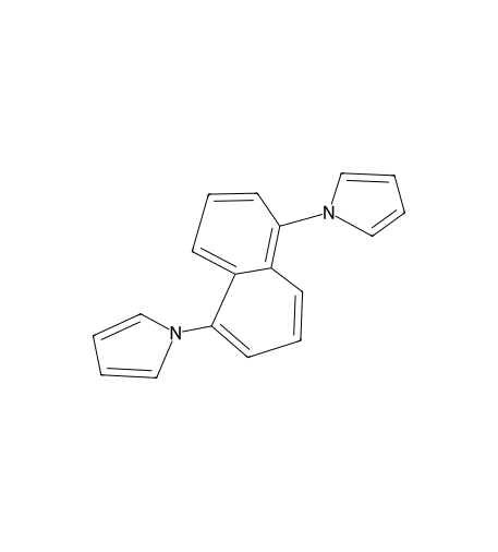 c1cc(-n2cccc2)c2cccc(-n3cccc3)c2c1